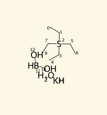 CCS(CC)(CC)CC.O.OBO.[KH]